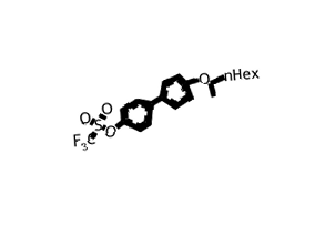 CCCCCCC(C)Oc1ccc(-c2ccc(OS(=O)(=O)C(F)(F)F)cc2)cc1